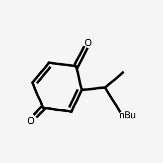 CCCCC(C)C1=CC(=O)C=CC1=O